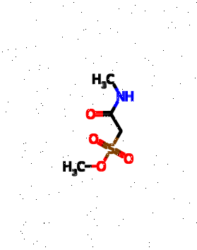 CNC(=O)CS(=O)(=O)OC